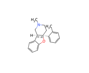 Cc1ccccc1[C@@]12CCN(C)C[C@@H]1c1ccccc1O2